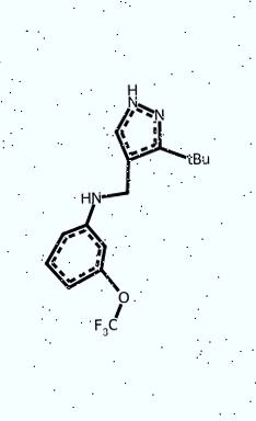 CC(C)(C)c1n[nH]cc1CNc1cccc(OC(F)(F)F)c1